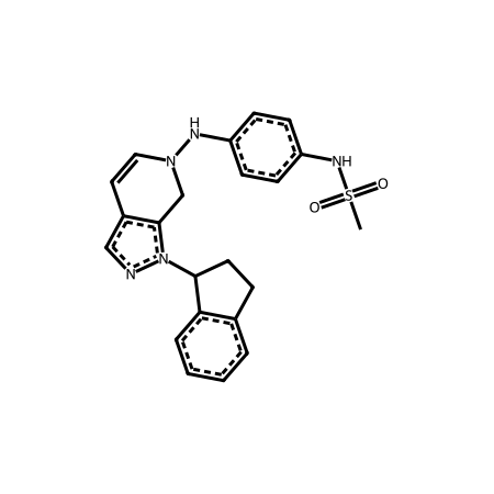 CS(=O)(=O)Nc1ccc(NN2C=Cc3cnn(C4CCc5ccccc54)c3C2)cc1